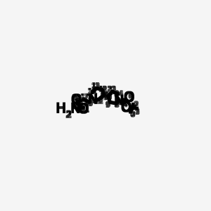 CC(C)(C)OC(=O)N1CCC([C@H]2CCCN(CCS(N)(=O)=O)C2)CC1